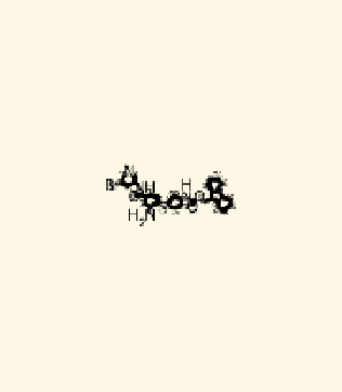 Nc1cc(C(=O)Nc2cncc(Br)c2)ccc1Sc1ccc(NC(=O)OCC2c3ccccc3-c3ccccc32)cc1